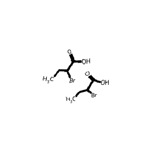 CCC(Br)C(=O)O.CCC(Br)C(=O)O